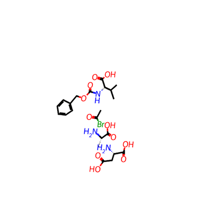 CC(=O)Br.CC(C)[C@H](NC(=O)OCc1ccccc1)C(=O)O.C[C@H](N)C(=O)O.N[C@@H](CC(=O)O)C(=O)O